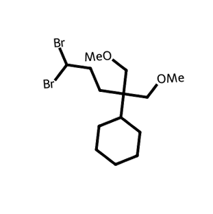 COCC(CCC(Br)Br)(COC)C1CCCCC1